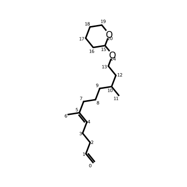 C=CCCC=C(C)CCCC(C)CCOC1CCCCO1